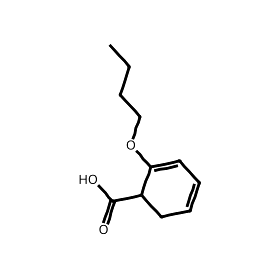 CCCCOC1=CC=CCC1C(=O)O